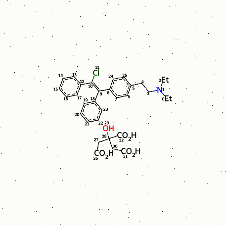 CCN(CC)CCc1ccc(/C(=C(\Cl)c2ccccc2)c2ccccc2)cc1.O=C(O)CC(O)(CC(=O)O)C(=O)O